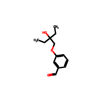 CCC(O)(CC)COc1cccc(C=O)c1